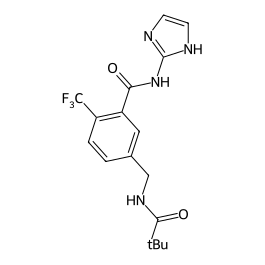 CC(C)(C)C(=O)NCc1ccc(C(F)(F)F)c(C(=O)Nc2ncc[nH]2)c1